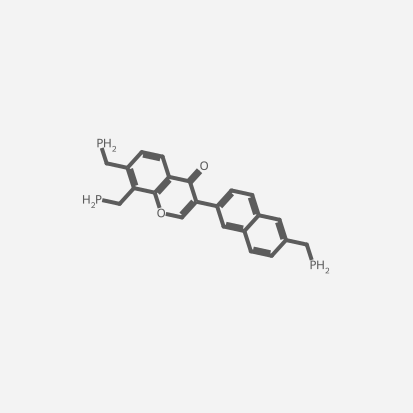 O=c1c(-c2ccc3cc(CP)ccc3c2)coc2c(CP)c(CP)ccc12